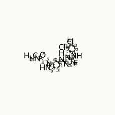 CNC(=O)CCN1NCc2ccc(Nc3ncc(F)c(Nc4ccc(Cl)c(Cl)c4)n3)cc21